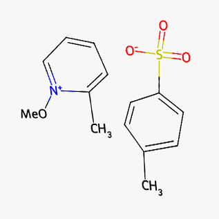 CO[n+]1ccccc1C.Cc1ccc(S(=O)(=O)[O-])cc1